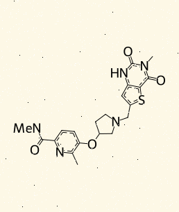 CNC(=O)c1ccc(OC2CCN(Cc3cc4[nH]c(=O)n(C)c(=O)c4s3)C2)c(C)n1